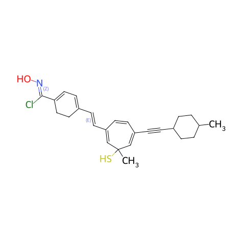 CC1CCC(C#CC2=CC(C)(S)C=C(/C=C/C3=CC=C(/C(Cl)=N/O)CC3)C=C2)CC1